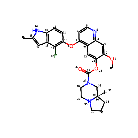 COc1cc2nccc(Oc3ccc4[nH]c(C)cc4c3F)c2cc1OC(=O)N1CCN2CCC[C@@H]2C1